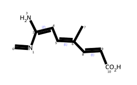 C=N\C(N)=C/C=C(C)/C=C/C(=O)O